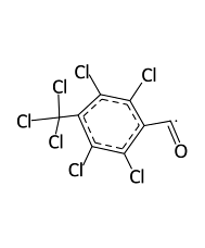 O=[C]c1c(Cl)c(Cl)c(C(Cl)(Cl)Cl)c(Cl)c1Cl